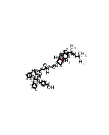 CC(C)CCC[C@@H](C)[C@H]1CC[C@@H]2[C@]1(C)CC[C@H]1[C@@]2(C)CC=C2C[C@@H](OCCCNC(=O)CCC(=O)N[C@@H](Cc3ccccc3)C(=O)N[C@@H](Cc3ccccc3)C(=O)Nc3ccc(CO)cc3)CC[C@@]21C